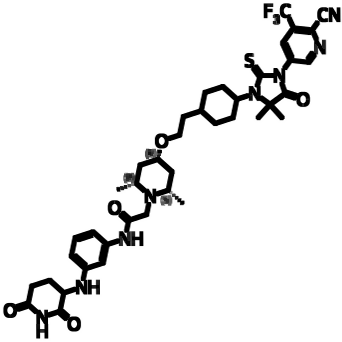 C[C@@H]1C[C@H](OCCC2CCC(N3C(=S)N(c4cnc(C#N)c(C(F)(F)F)c4)C(=O)C3(C)C)CC2)C[C@H](C)N1CC(=O)Nc1cccc(NC2CCC(=O)NC2=O)c1